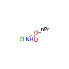 CCCCOC(=O)CNCl